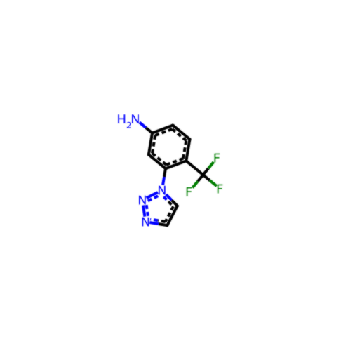 Nc1ccc(C(F)(F)F)c(-n2ccnn2)c1